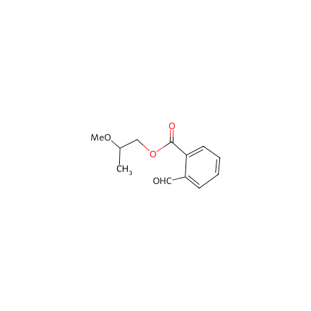 COC(C)COC(=O)c1ccccc1C=O